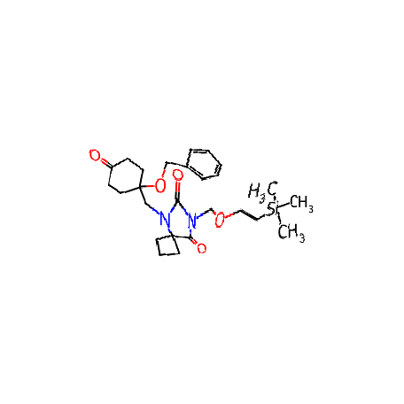 C[Si](C)(C)CCOCN1C(=O)N(CC2(OCc3ccccc3)CCC(=O)CC2)C2(CCC2)C1=O